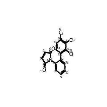 O=C1C=CC(=O)N1c1ccccc1-c1ccc(Cl)c(Cl)c1Cl